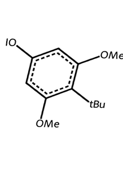 COc1cc(O)cc(OC)c1C(C)(C)C